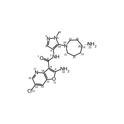 Cn1ncc(NC(=O)c2c(N)oc3cc(Cl)cnc23)c1N1CCC[C@@H](N)CC1